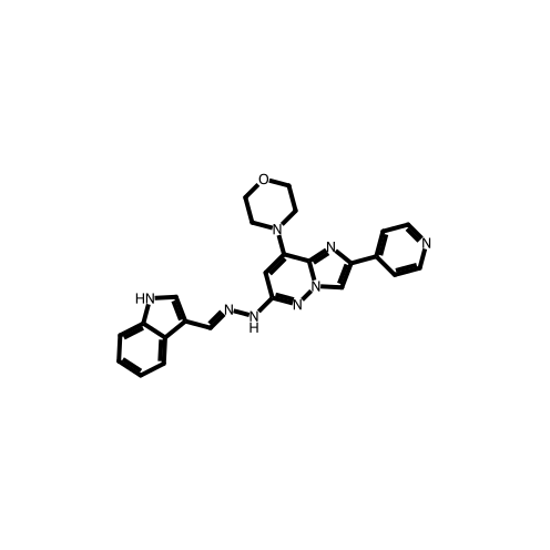 C(=NNc1cc(N2CCOCC2)c2nc(-c3ccncc3)cn2n1)c1c[nH]c2ccccc12